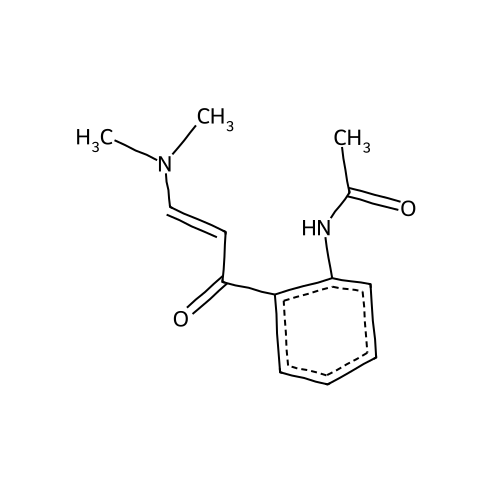 CC(=O)Nc1ccccc1C(=O)C=CN(C)C